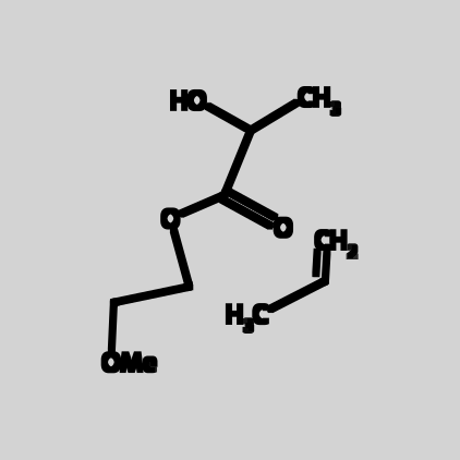 C=CC.COCCOC(=O)C(C)O